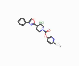 Cc1ccc(OC(=O)N2CCC(c3nc(-c4ccccc4)co3)CC2)cn1.Cl